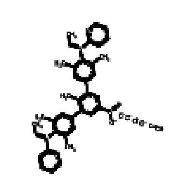 CC=[N+](c1ccccn1)c1c(C)cc(-c2cc([N+](=O)[O-])cc(-c3cc(C)c([N+](=CC)c4ccccn4)c(C)c3)c2C)cc1C.[Cl-].[Cl-].[Cl-].[Cl-].[Cu].[Cu]